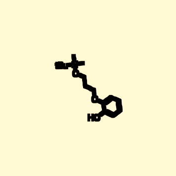 CC(C)(C)[Si](C)(C)OCCCOc1ccccc1O